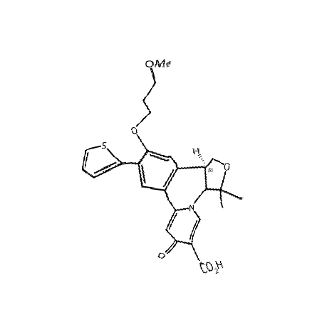 COCCCOc1cc2c(cc1-c1cccs1)-c1cc(=O)c(C(=O)O)cn1C1[C@@H]2COC1(C)C